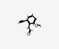 C#Cc1cccc(OC)c1CC=O